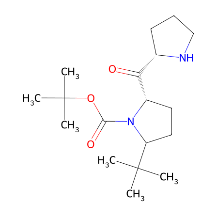 CC(C)(C)OC(=O)N1C(C(C)(C)C)CC[C@H]1C(=O)[C@@H]1CCCN1